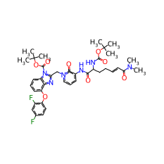 CN(C)C(=O)C=CCCC(NC(=O)OC(C)(C)C)C(=O)Nc1cccn(Cc2nc3c(Oc4ccc(F)cc4F)cccc3n2C(=O)OC(C)(C)C)c1=O